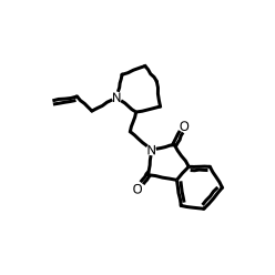 C=CCN1CCCCC1CN1C(=O)c2ccccc2C1=O